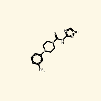 FC(F)(F)c1cccc(N2CCN(C(=S)Nc3nc[nH]n3)CC2)c1